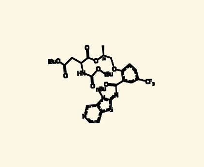 CCCCn1c(=NC(=O)c2cc(C(F)(F)F)ccc2OC[C@H](C)OC(=O)C(CC(=O)OCC(C)C)NC(=O)OC(C)(C)C)sc2ccncc21